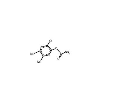 N#Cc1nc(Cl)c(OC(N)=O)nc1C#N